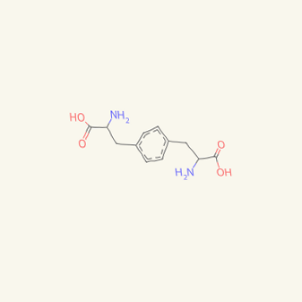 NC(Cc1ccc(CC(N)C(=O)O)cc1)C(=O)O